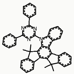 CC1(C)c2ccccc2-c2c1c1c(c3c2c2ccccc2n3-c2nc(-c3ccccc3)nc(-c3ccccc3)n2)C(C)(C)c2ccccc2-1